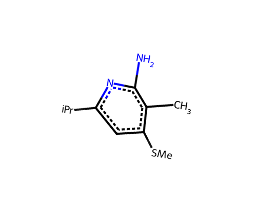 CSc1cc(C(C)C)nc(N)c1C